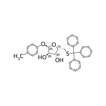 Cc1ccc(O[C@H]2O[C@H](CSC(c3ccccc3)(c3ccccc3)c3ccccc3)[C@H](O)[C@H]2O)cc1